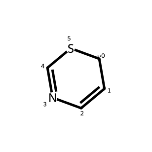 [C]1C=CN=CS1